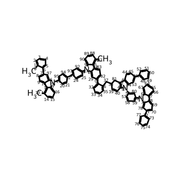 Cc1ccccc1-c1ccc2c3c(C)cccc3n(-c3ccc(-c4ccc(-n5c6cc(-c7ccccc7CC7C=Cc8c(c9ccc(-c%10ccccc%10)cc9n8-c8cccc(-n9c%10ccccc%10c%10ccc(-c%11ccccc%11)cc%109)c8)C7)ccc6c6c(C)cccc65)cc4)cc3)c2c1